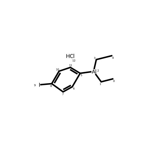 C[CH2][Al]([CH2]C)[c]1ccc(I)cc1.Cl